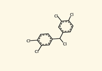 Clc1ccc(C(Cl)c2ccc(Cl)c(Cl)c2)cc1Cl